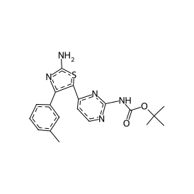 Cc1cccc(-c2nc(N)sc2-c2ccnc(NC(=O)OC(C)(C)C)n2)c1